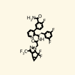 NC(=O)c1cc(-c2cccnc2[C@H](Cc2cc(F)cc(F)c2)NC(=O)Cn2nc(C(F)(F)F)c3c2C(F)(F)C2CC32)ccc1F